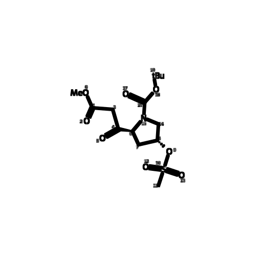 COC(=O)CC(=O)[C@@H]1C[C@@H](OS(C)(=O)=O)CN1C(=O)OC(C)(C)C